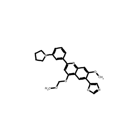 COCOc1cc(-c2cccc(N3CCCC3)c2)nc2cc(OC)c(-c3cnco3)cc12